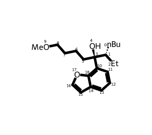 CCCC[C@H](CC)[C@@](O)(CCCCOC)c1cccc2ccoc12